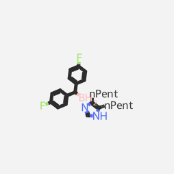 BC(c1ccc(F)cc1)c1ccc(F)cc1.CCCCCc1nc[nH]c1CCCCC